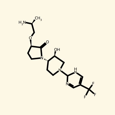 C[C@H](N)CO[C@@H]1CCN([C@H]2CCN(C3N=CC(C(F)(F)F)=CN3)C[C@@H]2O)C1=O